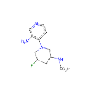 Nc1cnccc1N1CC(F)CC(NC(=O)O)C1